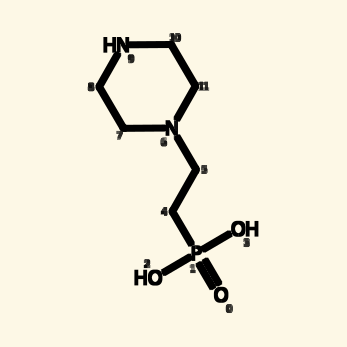 O=P(O)(O)CCN1CCNCC1